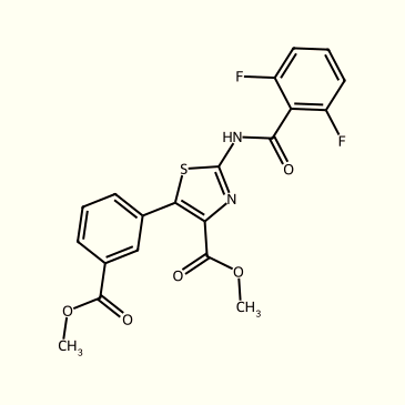 COC(=O)c1cccc(-c2sc(NC(=O)c3c(F)cccc3F)nc2C(=O)OC)c1